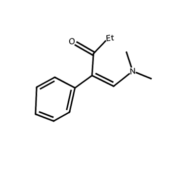 CCC(=O)C(=CN(C)C)c1ccccc1